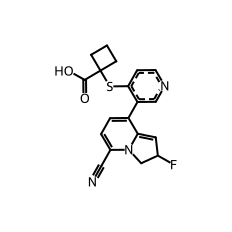 N#CC1=CC=C(c2cnccc2SC2(C(=O)O)CCC2)C2=CC(F)CN12